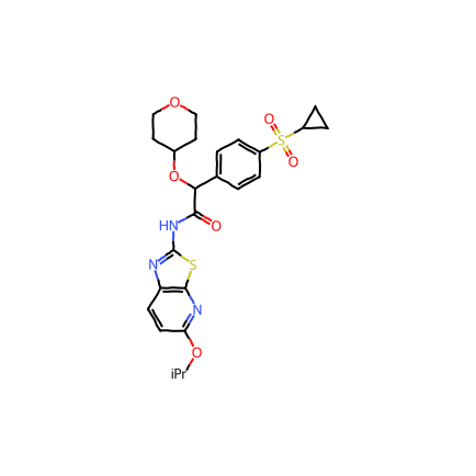 CC(C)Oc1ccc2nc(NC(=O)C(OC3CCOCC3)c3ccc(S(=O)(=O)C4CC4)cc3)sc2n1